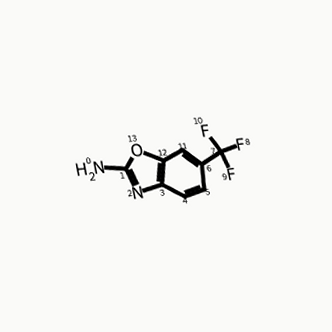 Nc1nc2ccc(C(F)(F)F)cc2o1